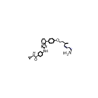 C=C(/C=C\C=C/N)CCOc1ccc(-c2cccn3nc(Nc4ccc(C(=O)NC5CC5)cc4)nc23)cc1